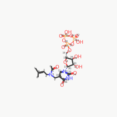 CC(=O)N(CC=C(C)C)Cc1cn([C@@H]2O[C@H](COP3(=O)OP(=O)(O)OP(=O)(O)O3)C(O)[C@@H]2O)c(=O)[nH]c1=O